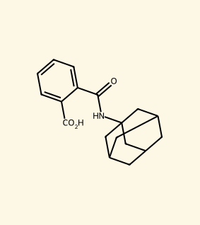 O=C(O)c1ccccc1C(=O)NC12CC3CC(CC(C3)C1)C2